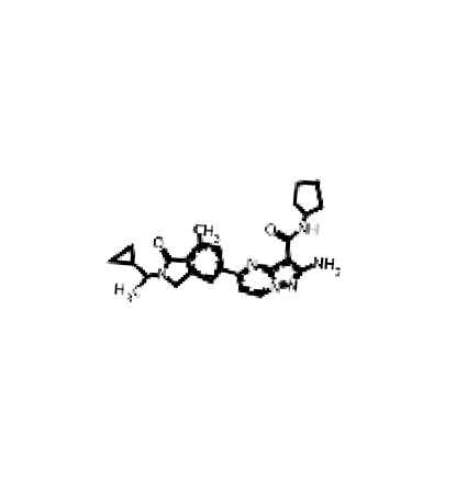 Cc1cc(-c2ccn3nc(N)c(C(=O)NC4CCCC4)c3n2)cc2c1C(=O)N(C(C)C1CC1)C2